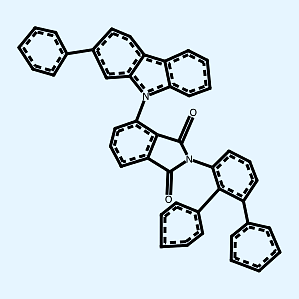 O=C1c2cccc(-n3c4ccccc4c4ccc(-c5ccccc5)cc43)c2C(=O)N1c1cccc(-c2ccccc2)c1-c1ccccc1